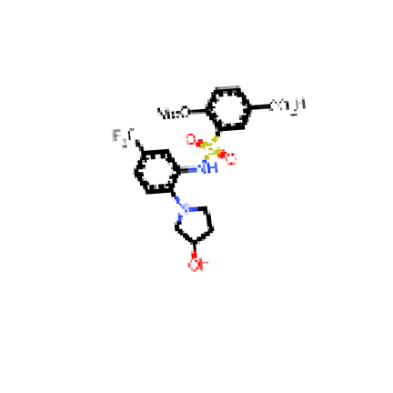 COc1ccc(C(=O)O)cc1S(=O)(=O)Nc1cc(C(F)(F)F)ccc1N1CC[C@@H](O)C1